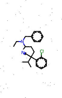 CCN(Cc1ccccc1)C(C)CCC(C#N)(c1ccccc1Cl)C(C)C